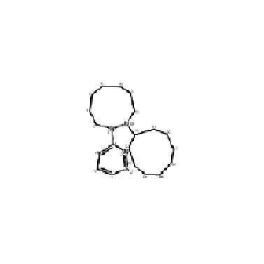 c1cnnc(N2CCCCCCCN2C2CCCCCCCC2)c1